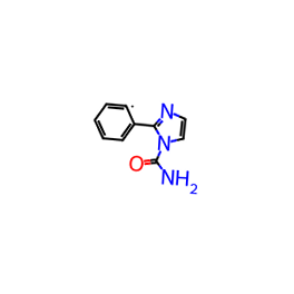 NC(=O)n1ccnc1-c1[c]cccc1